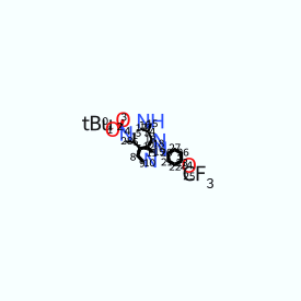 CC(C)(C)OC(=O)N1CC(c2ccnc3c2c(C2CNC2)nn3-c2ccc(OC(F)(F)F)cc2)C1